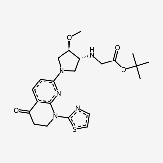 CO[C@@H]1CN(c2ccc3c(n2)N(c2nccs2)CCC3=O)C[C@H]1NCC(=O)OC(C)(C)C